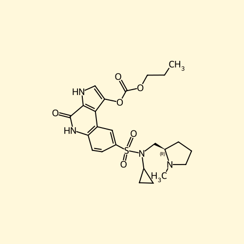 CCCOC(=O)Oc1c[nH]c2c(=O)[nH]c3ccc(S(=O)(=O)N(C[C@H]4CCCN4C)C4CC4)cc3c12